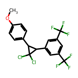 COc1ccc(C2C(c3cc(C(F)(F)F)cc(C(F)(F)F)c3)C2(Cl)Cl)cc1